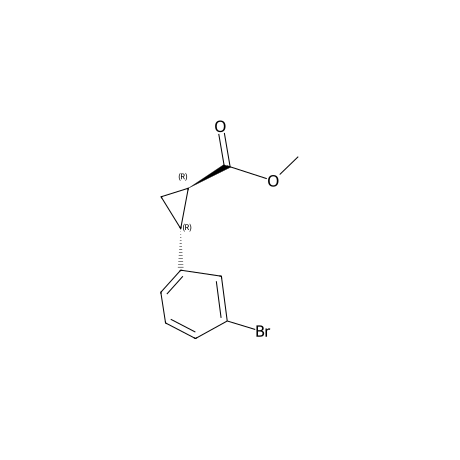 COC(=O)[C@@H]1C[C@H]1c1cccc(Br)c1